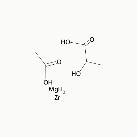 CC(=O)O.CC(O)C(=O)O.[MgH2].[Zr]